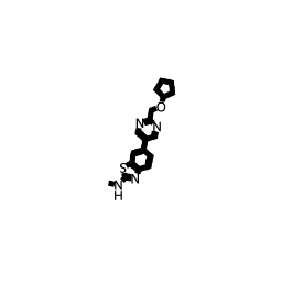 CNc1nc2ccc(-c3cnc(COC4CCCC4)nc3)cc2s1